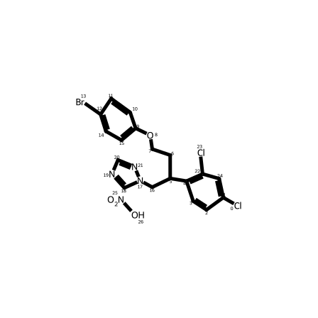 Clc1ccc(C(CCOc2ccc(Br)cc2)Cn2cncn2)c(Cl)c1.O=[N+]([O-])O